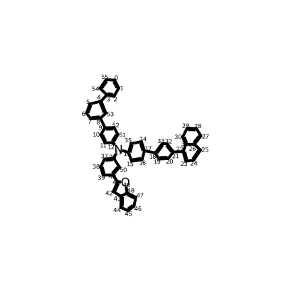 c1ccc(-c2cccc(-c3ccc(N(c4ccc(-c5ccc(-c6cccc7ccccc67)cc5)cc4)c4cccc(-c5cc6ccccc6o5)c4)cc3)c2)cc1